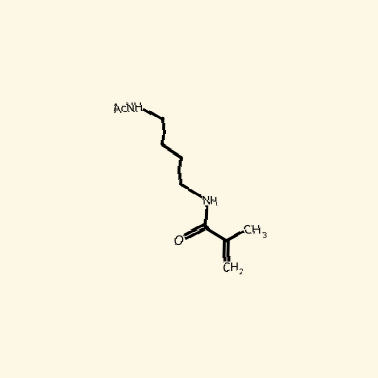 C=C(C)C(=O)NCCCCNC(C)=O